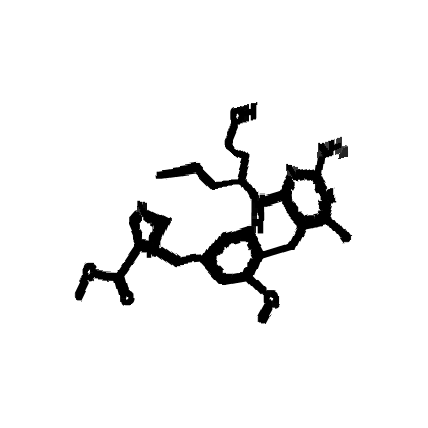 CCCC(CCO)Nc1nc(N)nc(C)c1Cc1ccc(Cn2cncc2C(=O)OC)cc1OC